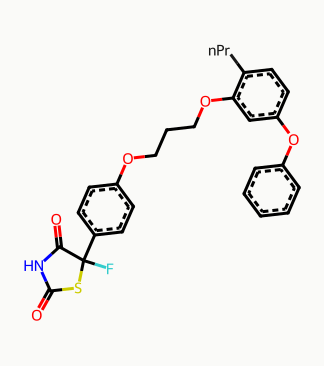 CCCc1ccc(Oc2ccccc2)cc1OCCCOc1ccc(C2(F)SC(=O)NC2=O)cc1